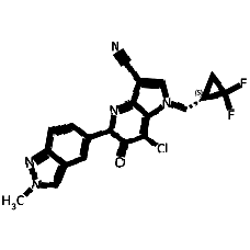 Cn1cc2cc(C3N=c4c(C#N)cn(C[C@@H]5CC5(F)F)c4=C(Cl)C3=O)ccc2n1